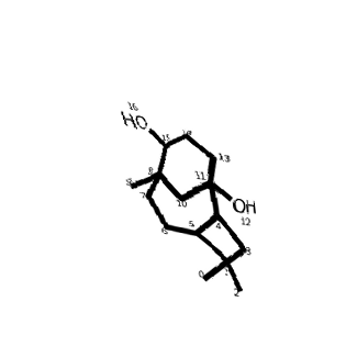 CC1(C)CC2C1CCC1(C)CC2(O)CCC1O